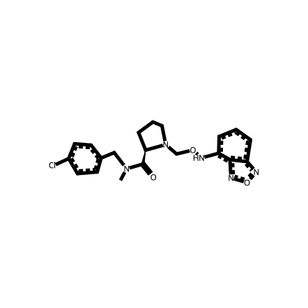 CN(Cc1ccc(Cl)cc1)C(=O)[C@H]1CCCN1CONc1cccc2nonc12